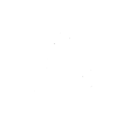 COC(=O)N[C@H](C(=O)N1CCC[C@H]1/C(N)=N/C(C#CC#Cc1cnc([C@@H]2CCCN2)[nH]1)=C\C=C/CCc1ccc(-c2ccccc2)cc1)C(C)C